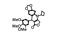 COc1cc(C2C3=C(COC3=O)N(C3CCC3)c3cc4c(cc32)OCO4)cc(OC)c1OC